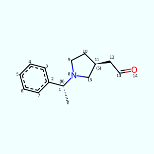 C[C@H](c1ccccc1)N1CC[C@@H](CC=O)C1